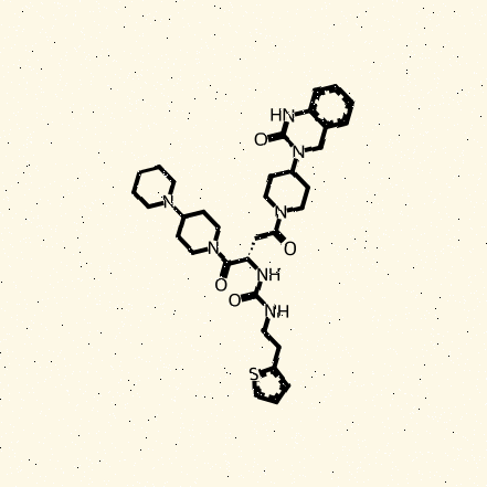 O=C(NCCc1cccs1)N[C@@H](CC(=O)N1CCC(N2Cc3ccccc3NC2=O)CC1)C(=O)N1CCC(N2CCCCC2)CC1